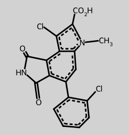 Cn1c(C(=O)O)c(Cl)c2c3c(c(-c4ccccc4Cl)cc21)C(=O)NC3=O